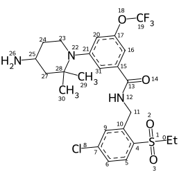 CCS(=O)(=O)c1ccc(Cl)cc1CNC(=O)c1cc(OC(F)(F)F)cc(N2CCC(N)CC2(C)C)c1